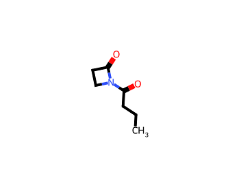 CCCC(=O)N1CCC1=O